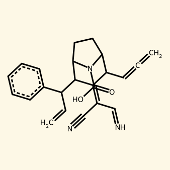 C=C=CC1/C(=C(/C#N)C=N)C(C(C=C)c2ccccc2)C2CCC1N2C(=O)O